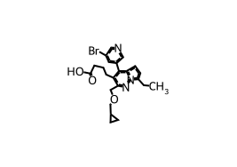 CCc1ccc2c(-c3cncc(Br)c3)c(CCCC(=O)O)c(COCC3CC3)nn12